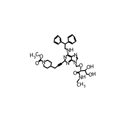 CCNC(=O)[C@@H](OCn1cnc2c(NCC(c3ccccc3)c3ccccc3)nc(C#CCC3CCN(C(=O)OC)CC3)nc21)C(O)CO